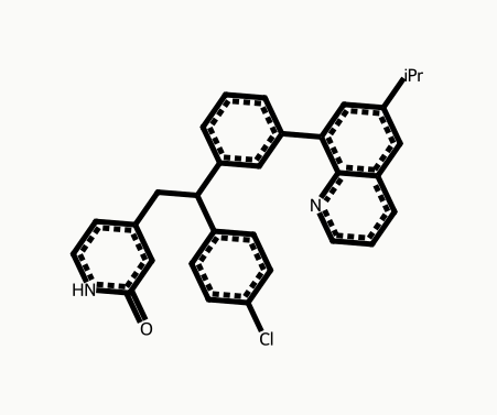 CC(C)c1cc(-c2cccc(C(Cc3cc[nH]c(=O)c3)c3ccc(Cl)cc3)c2)c2ncccc2c1